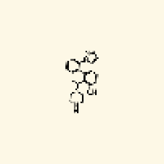 CC(c1c(C#N)cccc1-c1ccccc1-n1cccn1)N1CCNCC1